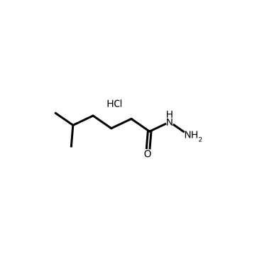 CC(C)CCCC(=O)NN.Cl